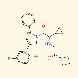 O=C(CNC(C(=O)N1CC(c2cc(F)ccc2F)=C[C@H]1c1ccccc1)C1CC1)N1CCC1